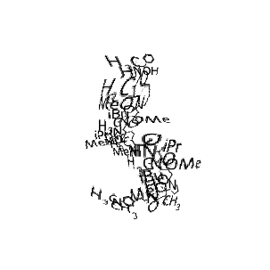 CCC(C)[C@@H]([C@@H](CC(=O)N1CCC[C@H]1[C@H](OC)[C@@H](C)C(=O)NCCc1ccc(N(C)C)cc1)OC)N(C)C(=O)[C@@H](NC(=O)[C@@H](NC)C(C)CCC(C)[C@H](NC(=O)[C@@H](NC)C(C)C)C(=O)N(C)[C@@H](C(C)CC)[C@@H](CC(=O)N1CCCC[C@H]1[C@H](OC)[C@@H](C)C(=O)N[C@H](C)[C@@H](O)c1ccccc1)OC)C(C)C